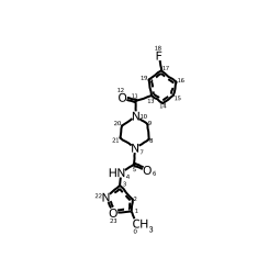 Cc1cc(NC(=O)N2CCN(C(=O)c3cccc(F)c3)CC2)no1